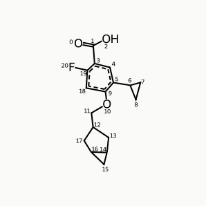 O=C(O)c1cc(C2CC2)c(OCC2CC3CC3C2)cc1F